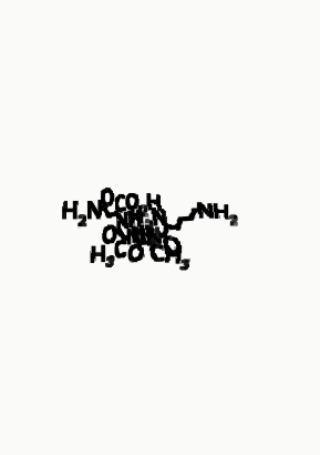 C[C@H](NC(=O)[C@H](C)NC(=O)[C@@H](N)CCCCN)C(=O)N[C@@H](CC(N)=O)C(=O)O